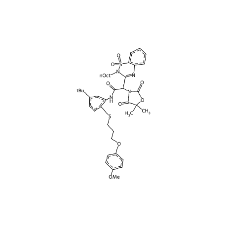 CCCCCCCCN1C(C(C(=O)Nc2cc(C(C)(C)C)ccc2SCCCOc2ccc(OC)cc2)N2C(=O)OC(C)(C)C2=O)=Nc2ccccc2S1(=O)=O